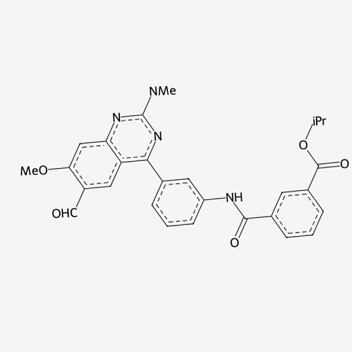 CNc1nc(-c2cccc(NC(=O)c3cccc(C(=O)OC(C)C)c3)c2)c2cc(C=O)c(OC)cc2n1